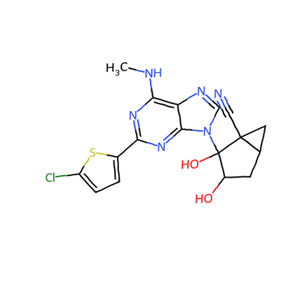 CNc1nc(-c2ccc(Cl)s2)nc2c1ncn2C1(O)C(O)CC2CC21C#N